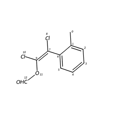 Cc1ccccc1/C(Cl)=C(/Cl)OC=O